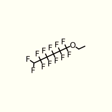 CCOC(F)(F)C(F)(F)C(F)(F)C(F)(F)C(F)(F)C(F)F